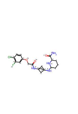 NC(=O)C1CCCC(NC23CC(NC(=O)COc4ccc(Cl)c(F)c4)(C2)C3)N1